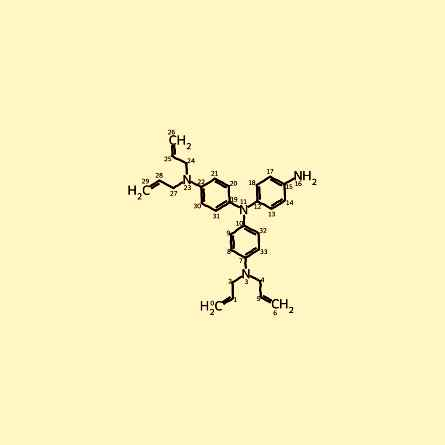 C=CCN(CC=C)c1ccc(N(c2ccc(N)cc2)c2ccc(N(CC=C)CC=C)cc2)cc1